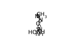 CCC[C@@H](CO)Nc1nc2ccc(Oc3ccnc(-c4cnn(C)c4)c3)cc2s1